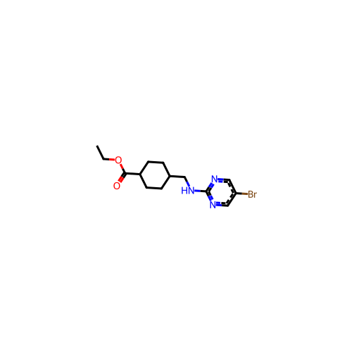 CCOC(=O)C1CCC(CNc2ncc(Br)cn2)CC1